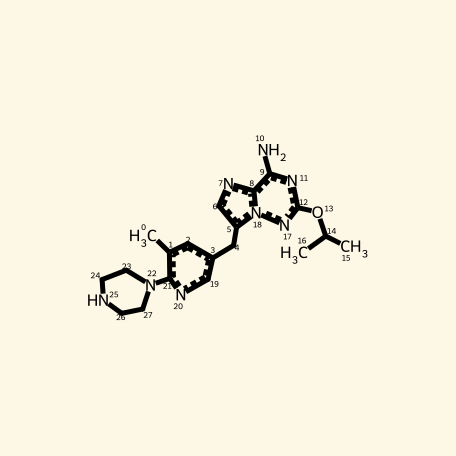 Cc1cc(Cc2cnc3c(N)nc(OC(C)C)nn23)cnc1N1CCNCC1